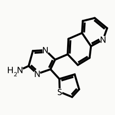 Nc1cnc(-c2ccc3ncccc3c2)c(-c2cccs2)n1